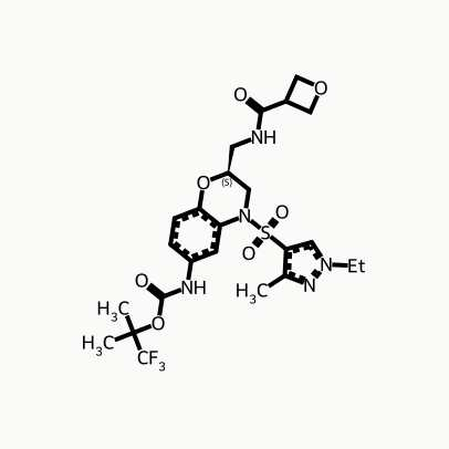 CCn1cc(S(=O)(=O)N2C[C@H](CNC(=O)C3COC3)Oc3ccc(NC(=O)OC(C)(C)C(F)(F)F)cc32)c(C)n1